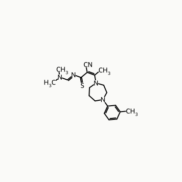 CC(=C(C#N)C(=S)N=CN(C)C)N1CCCN(c2cccc(C)c2)CC1